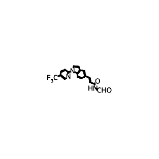 O=CNC(=O)C=Cc1ccc2c(ccn2-c2ccc(C(F)(F)F)cn2)c1